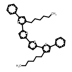 CCCCCCc1cc(-c2ccccc2)sc1-c1ccc(-c2ccc(-c3sc(-c4ccccc4)cc3CCCCCC)s2)s1